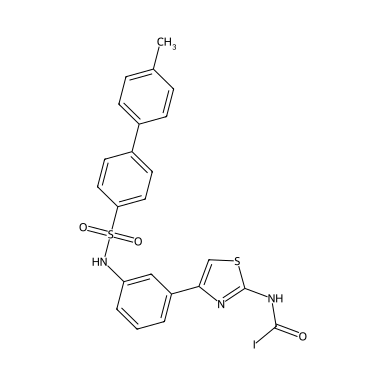 Cc1ccc(-c2ccc(S(=O)(=O)Nc3cccc(-c4csc(NC(=O)I)n4)c3)cc2)cc1